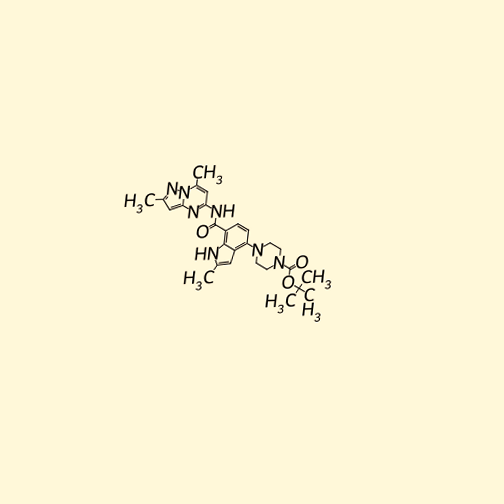 Cc1cc2nc(NC(=O)c3ccc(N4CCN(C(=O)OC(C)(C)C)CC4)c4cc(C)[nH]c34)cc(C)n2n1